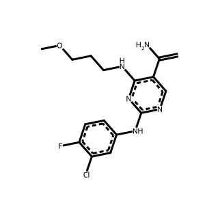 C=C(N)c1cnc(Nc2ccc(F)c(Cl)c2)nc1NCCCOC